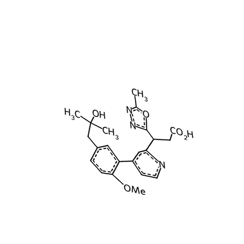 COc1ccc(CC(C)(C)O)cc1-c1ccnc(C(CC(=O)O)c2nnc(C)o2)c1